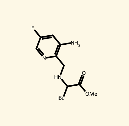 CCC(C)C(NCc1ncc(F)cc1N)C(=O)OC